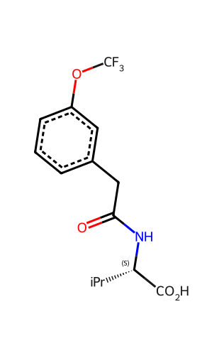 CC(C)[C@H](NC(=O)Cc1cccc(OC(F)(F)F)c1)C(=O)O